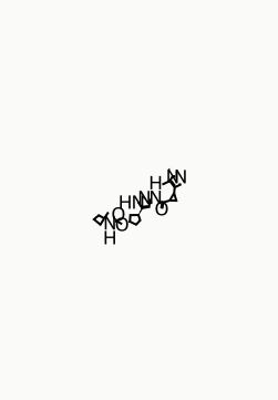 Cc1c(C2CC2C(=O)Nc2cc([C@H]3CC[C@@H](OC(=O)NC4(C)CCC4)C3)[nH]n2)cnn1C